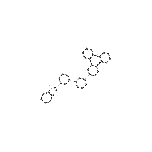 c1cc(-c2cccc(-c3nc4ccccc4s3)c2)cc(-c2ccc3c4ccccc4c4ccccc4c3c2)c1